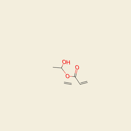 C=C.C=CC(=O)OC(C)O